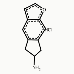 Cl.NC1Cc2cc3ccoc3cc2C1